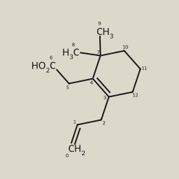 C=CCC1=C(CC(=O)O)C(C)(C)CCC1